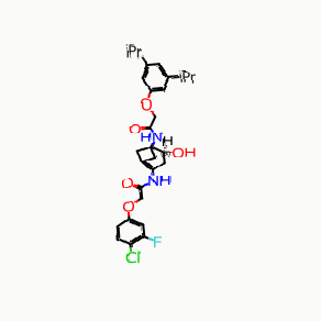 CC(C)c1cc(OCC(=O)NC23CC(=C(NC(=O)COc4ccc(Cl)c(F)c4)C[C@@H]2O)C3)cc(C(C)C)c1